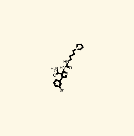 NC(=O)c1c(-c2cccc(Br)c2)csc1NC(=O)NCCCCN1CCCC1